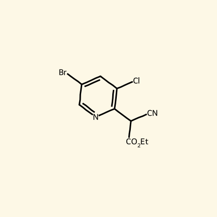 CCOC(=O)C(C#N)c1ncc(Br)cc1Cl